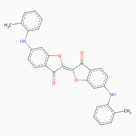 Cc1ccccc1Nc1ccc2c(c1)OC(=C1Oc3cc(Nc4ccccc4C)ccc3C1=O)C2=O